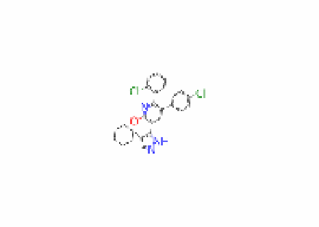 Clc1ccc(-c2cc3c(nc2-c2ccccc2Cl)OC2(CCCCC2)c2cn[nH]c2-3)cc1